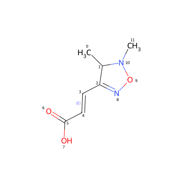 CC1C(/C=C/C(=O)O)=NON1C